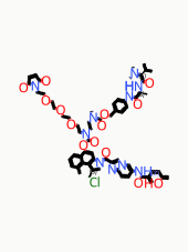 C=C(O)/C=C\C(=C)C(=O)Nc1ccc2nc(C(=O)N3C[C@@H](CCl)c4c3cc(OC(=O)N(CCOCCOCCOCCN3C(=O)C=CC3=O)CCN(C)C(=O)OCc3ccc(NC(=O)[C@H](C)NC(=O)[C@H](C(C)C)N(C)C)cc3)c3cccc(C)c43)cn2c1